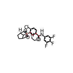 O=C(Nc1cc(F)c(F)c(F)c1)c1ccc(Cl)c(S(=O)(=O)C2C3CC[C@H]2C[C@H](CN2CCOCC2)C3)c1